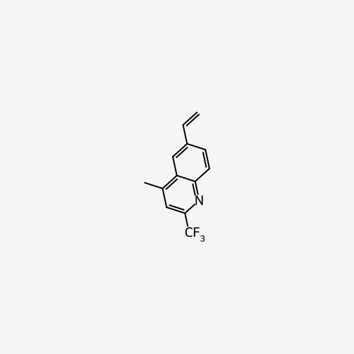 C=Cc1ccc2nc(C(F)(F)F)cc(C)c2c1